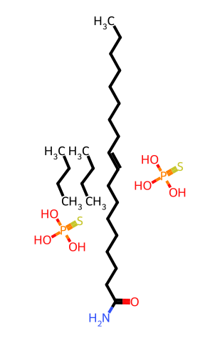 CCCC.CCCC.CCCCCCCCC=CCCCCCCCC(N)=O.OP(O)(O)=S.OP(O)(O)=S